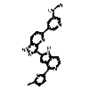 Cc1ccc(-c2nccc3[nH]c(-c4n[nH]c5ccc(-c6cncc(NC(C)C)c6)nc45)cc23)s1